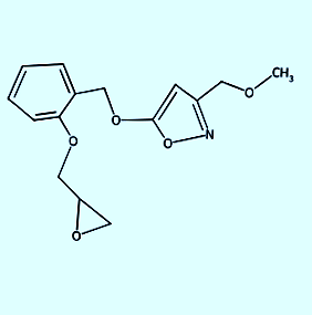 COCc1cc(OCc2ccccc2OCC2CO2)on1